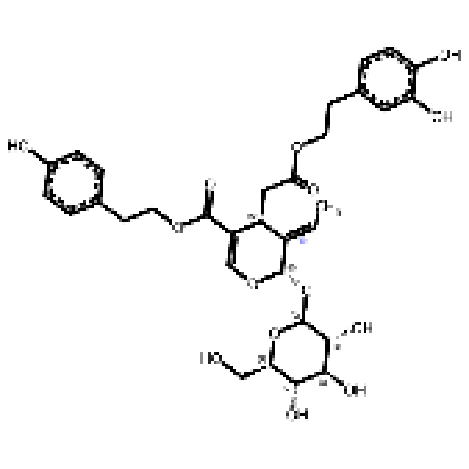 C/C=C1/[C@H](O[C@@H]2O[C@H](CO)[C@@H](O)[C@H](O)[C@H]2O)OC=C(C(=O)OCCc2ccc(O)cc2)[C@H]1CC(=O)OCCc1ccc(O)c(O)c1